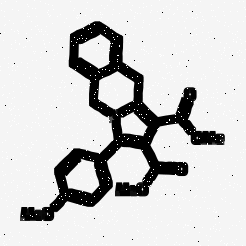 COC(=O)c1c(C(=O)OC)c(-c2ccc(OC)cc2)n2c1Cc1ccccc1C2